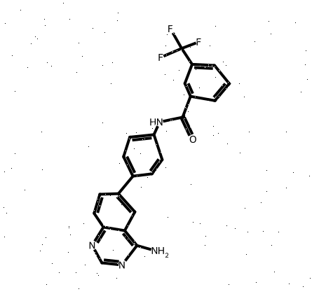 Nc1ncnc2ccc(-c3ccc(NC(=O)c4cccc(C(F)(F)F)c4)cc3)cc12